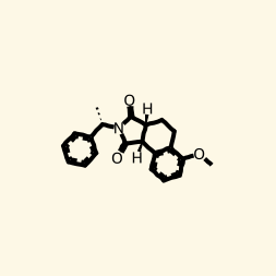 COc1cccc2c1CC[C@H]1C(=O)N([C@@H](C)c3ccccc3)C(=O)[C@@H]21